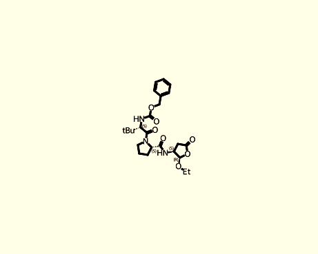 CCO[C@@H]1OC(=O)C[C@@H]1NC(=O)[C@@H]1CCCN1C(=O)[C@@H](NC(=O)OCc1ccccc1)C(C)(C)C